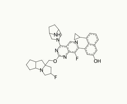 Oc1cc(-c2ncc3c(N4CC5CCC(C4)N5)nc(OCC45CC(F)CN4C4CCCC4C5)nc3c2F)c2c(C3CC3)cccc2c1